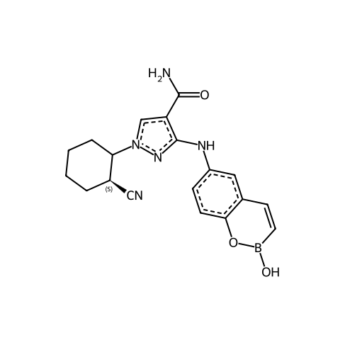 N#C[C@H]1CCCCC1n1cc(C(N)=O)c(Nc2ccc3c(c2)C=CB(O)O3)n1